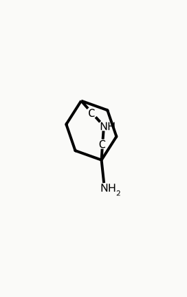 NC12CCC(CC1)CNC2